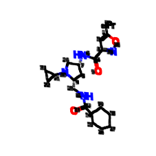 CC(C)c1cc(C(=O)N[C@@H]2C[C@H](CNC(=O)C3CCCCC3)N(C3CC3)C2)no1